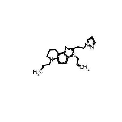 C=CCN1CCCc2c1ccc1c2nc(CCn2cccn2)n1CC=C